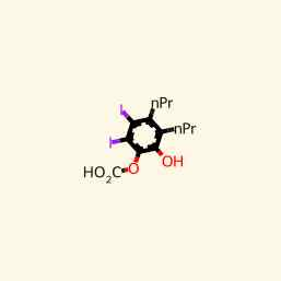 CCCc1c(O)c(OC(=O)O)c(I)c(I)c1CCC